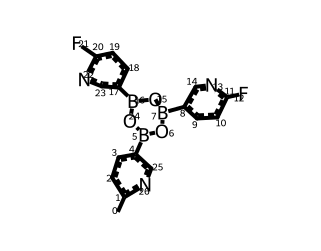 Cc1ccc(B2OB(c3ccc(F)nc3)OB(c3ccc(F)nc3)O2)cn1